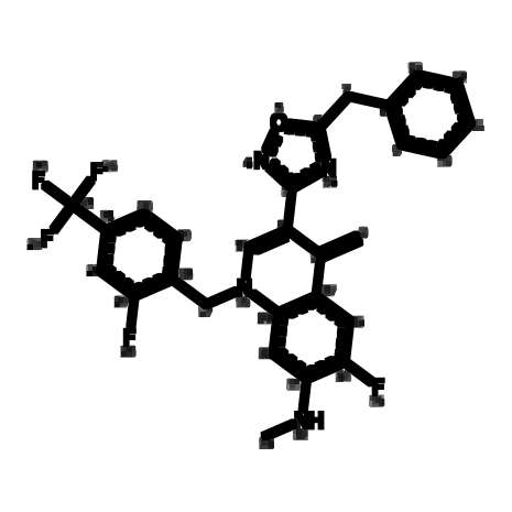 C=C1C(c2noc(Cc3ccccc3)n2)=CN(Cc2ccc(C(F)(F)F)cc2F)c2cc(NC)c(F)cc21